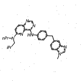 CCCN(CC(C)C)c1ccc2ncnc(Nc3ccc(Cc4ccc5c(c4)ncn5C)cc3)c2n1